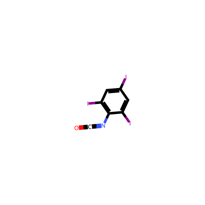 O=C=Nc1c(I)cc(I)cc1I